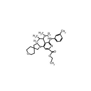 CCOC(=O)c1cc(N2CCC3(CCOCC3)C2)c(C(C(C)C)N(C)C)c(Nc2cccc(C)c2)n1